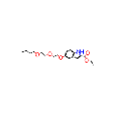 CCCCOCCOCCOc1ccc2[nH]c(C(=O)OCC)cc2c1